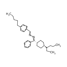 CCCCCc1ccc(C=NN=C(c2ccccc2)[C@H]2CC[C@H](C(CC)CCC)CC2)cc1